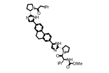 COC(=O)N[C@H](C(=O)N1CCC[C@H]1c1ncc(-c2ccc3c(c2)CCc2cc(-c4cnc([C@@H]5CCCN5C(=O)CC(C)C)[nH]4)ccc2-3)[nH]1)C(C)C